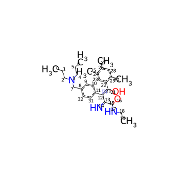 CCCN(CCC)Cc1ccc(/C(C(=N)C(=O)NCC)=C(/O)c2cc(C)c(C)cc2C)cc1